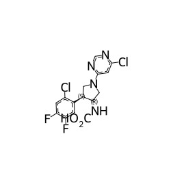 O=C(O)N[C@H]1CN(c2cc(Cl)ncn2)C[C@@H]1c1cc(F)c(F)cc1Cl